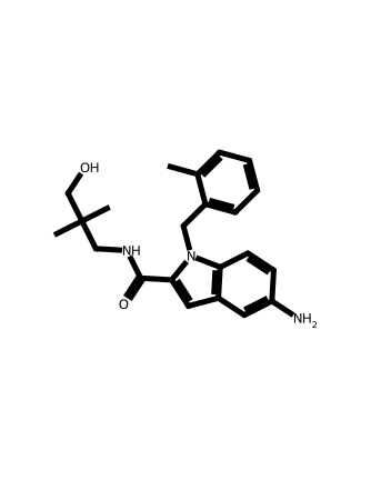 Cc1ccccc1Cn1c(C(=O)NCC(C)(C)CO)cc2cc(N)ccc21